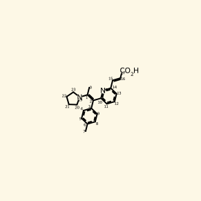 C/C(=C(/c1ccc(C)cc1)c1cccc(/C=C/C(=O)O)n1)N1CCCC1